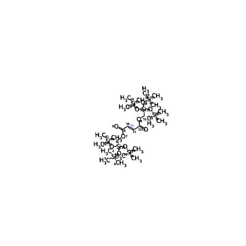 C[Si](C)(C)O[Si](COC(=O)/C=C/C(=O)OC[Si](O[Si](C)(C)C)(O[Si](C)(C)C)O[Si](C)(C)C)(O[Si](C)(C)C)O[Si](C)(C)C